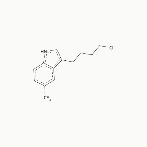 FC(F)(F)c1ccc2[nH]cc(CCCCCl)c2c1